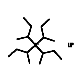 CCC(C)[B-](C(C)CC)(C(C)CC)C(C)CC.[Li+]